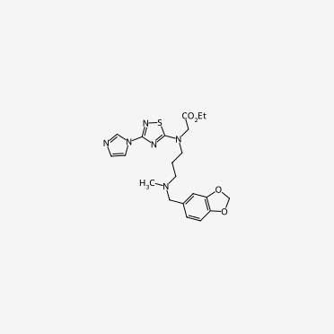 CCOC(=O)CN(CCCN(C)Cc1ccc2c(c1)OCO2)c1nc(-n2ccnc2)ns1